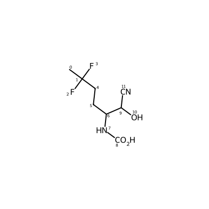 CC(F)(F)CCC(NC(=O)O)C(O)C#N